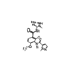 CN1NNN=C1NC(=O)c1ccc(OC(F)(F)F)c(NC(=O)c2ccnn2C)c1Cl